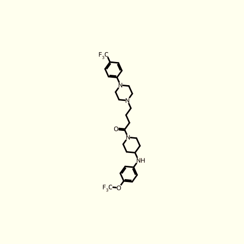 O=C(CCCN1CCN(c2ccc(C(F)(F)F)cc2)CC1)N1CCC(Nc2ccc(OC(F)(F)F)cc2)CC1